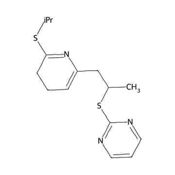 CC(C)SC1=NC(CC(C)Sc2ncccn2)=CCC1